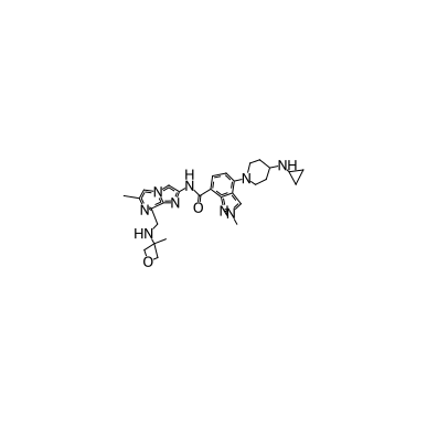 Cc1cn2cc(NC(=O)c3ccc(N4CCC(NC5CC5)CC4)c4cn(C)nc34)nc2c(CNC2(C)COC2)n1